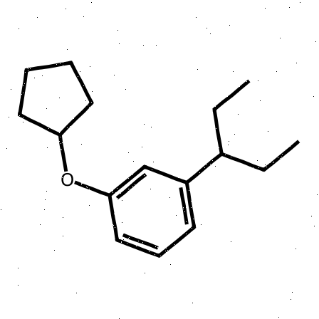 CCC(CC)c1cccc(OC2CCCC2)c1